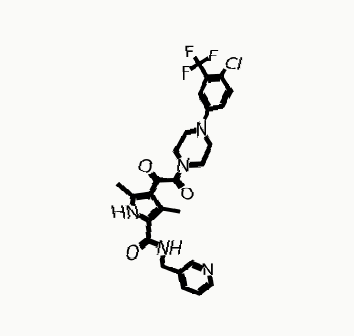 Cc1[nH]c(C(=O)NCc2cccnc2)c(C)c1C(=O)C(=O)N1CCN(c2ccc(Cl)c(C(F)(F)F)c2)CC1